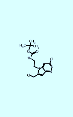 CC(C)(C)OC(=O)NCCn1c(CCl)cc2nnc(Cl)cc21